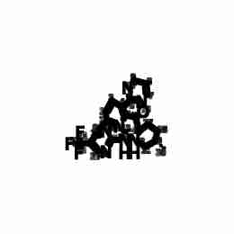 Cc1ccc(-c2ncccn2)c(C(=O)[C@@]2(CNc3ncc(C(F)(F)F)cn3)CC[C@H](C)CN2)n1